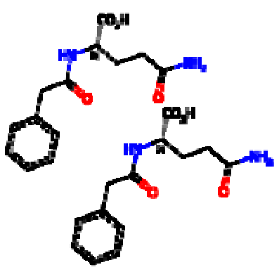 NC(=O)CC[C@H](NC(=O)Cc1ccccc1)C(=O)O.NC(=O)CC[C@H](NC(=O)Cc1ccccc1)C(=O)O